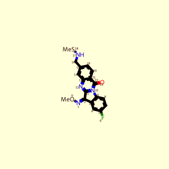 CO/N=C1/c2cc(F)ccc2-n2c1nc1cc(CNSC)ccc1c2=O